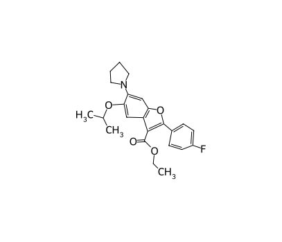 CCOC(=O)c1c(-c2ccc(F)cc2)oc2cc(N3CCCC3)c(OC(C)C)cc12